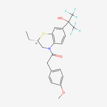 CC[C@H]1CN(C(=O)Cc2ccc(OC)cc2)c2ccc(C(O)(C(F)(F)F)C(F)(F)F)cc2S1